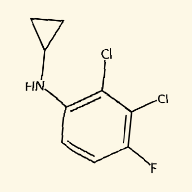 Fc1ccc(NC2CC2)c(Cl)c1Cl